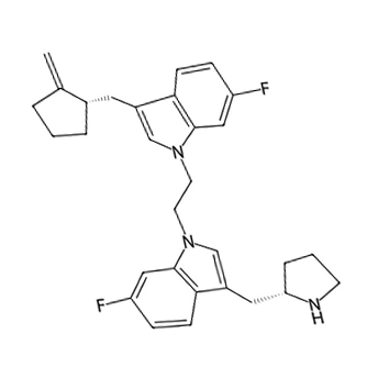 C=C1CCC[C@H]1Cc1cn(CCn2cc(C[C@@H]3CCCN3)c3ccc(F)cc32)c2cc(F)ccc12